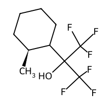 C[C@H]1CCCCC1C(O)(C(F)(F)F)C(F)(F)F